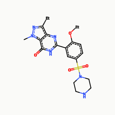 CCOc1ccc(S(=O)(=O)N2CCNCC2)cc1-c1nc2c(CC)nn(C)c2c(=O)[nH]1